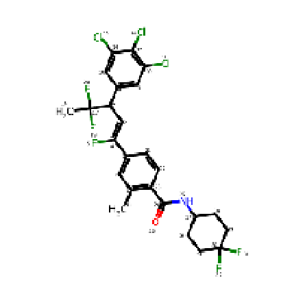 Cc1cc(/C(F)=C/C(c2cc(Cl)c(Cl)c(Cl)c2)C(C)(F)F)ccc1C(=O)NC1CCC(F)(F)CC1